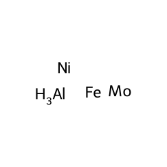 [AlH3].[Fe].[Mo].[Ni]